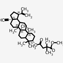 C#C[C@]12CC[C@@H](C(=C)C)C1C1CCC3[C@@]4(C)CC[C@H](OC(=O)CC(C)(C)C(=O)OC)C(C)(C)C4CC[C@@]3(C)[C@]1(C)CC2